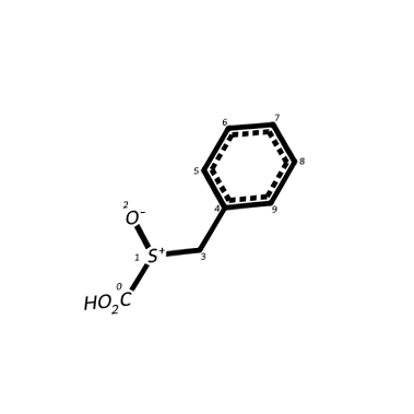 O=C(O)[S+]([O-])Cc1ccccc1